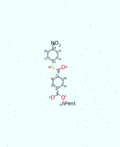 CCCCCOC(=O)c1ccc(C(=O)Sc2ccc([N+](=O)[O-])cc2)cc1